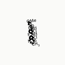 COC1CN(S(=O)(=O)Nc2ccc(F)c(Nc3ccc4ncn(C)c(=O)c4c3Cl)c2Cl)C1